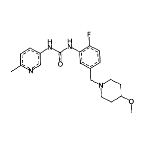 COC1CCN(Cc2ccc(F)c(NC(=O)Nc3ccc(C)nc3)c2)CC1